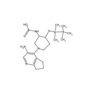 CC(C)(C)[Si](C)(C)OC1CCN(c2c(N)cnc3c2CCC3)CC1NC(=O)O